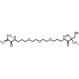 C=C(C)C(=O)NCCCOCCOCCOCCCNC(=O)C(C)(CC(C)(C)C)C(C)C